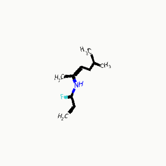 C=CC(F)N/C(C)=C\CC(C)C